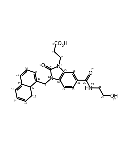 O=C(O)CCn1c(=O)n(CC2=CC=CC3=CC=CCC32)c2ccc(C(=O)NCCO)cc21